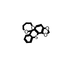 c1ccc2c(c1)Sc1c(ccc3c1OCO3)C21OCCCCO1